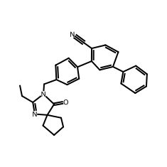 CCC1=NC2(CCCC2)C(=O)N1Cc1ccc(-c2cc(-c3ccccc3)ccc2C#N)cc1